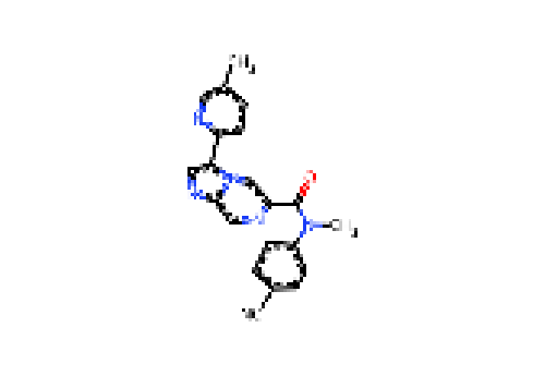 Cc1ccc(-c2cnc3cnc(C(=O)N(C)c4ccc(C#N)cc4)cn23)nc1